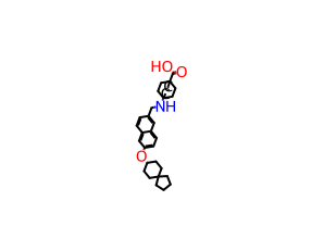 O=C(O)C12CCC(NCc3ccc4cc(OC5CCC6(CCCC6)CC5)ccc4c3)(CC1)CC2